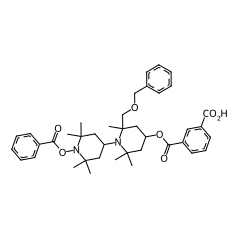 CC1(C)CC(N2C(C)(C)CC(OC(=O)c3cccc(C(=O)O)c3)CC2(C)COCc2ccccc2)CC(C)(C)N1OC(=O)c1ccccc1